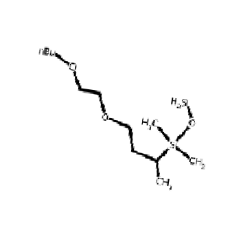 CCCCOCCOCCC(C)[Si](C)(C)O[SiH3]